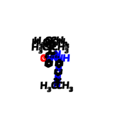 CC(C)[Si](C#Cc1cc(=O)n(-c2ccccc2)c2nc(Nc3ccc(N4CCC(N5CC(N(C)C)C5)CC4)cc3)ncc12)(C(C)C)C(C)C